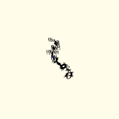 CC(C)(C)c1cc(NC(=O)NC(=N)/C=C2/N=CC(C#Cc3ccc(OCCN4CCOCC4)cc3)=CN2)no1